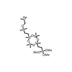 CO[Si](CC[Si]1(C)O[Si](C)(C)O[Si](C)(CC[Si](C)(C)OC[SiH](C)C)O[Si](C)(C)O1)(OC)OC